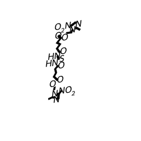 Cc1ncc([N+](=O)[O-])n1CCOC(=O)CCCC(=O)NC(=S)NC(=O)CCCC(=O)OCCn1c([N+](=O)[O-])cnc1C